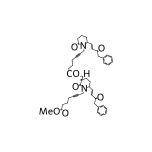 COC(=O)CCCC#CCN1C(=O)CCCC1/C=C/C(=O)Cc1ccccc1.O=C(O)CCCC#CCN1C(=O)CCCC1/C=C/C(=O)Cc1ccccc1